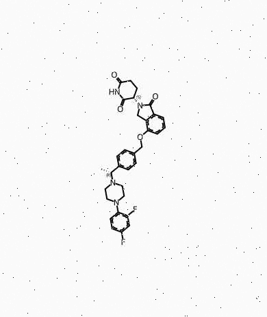 C[C@H](c1ccc(COc2cccc3c2CN([C@H]2CCC(=O)NC2=O)C3=O)cc1)N1CCN(c2ccc(F)cc2F)CC1